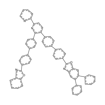 c1ccc(-c2cc3nc(-c4ccc(-c5ccc(-c6ccc(-c7ccccn7)nc6-c6ccc(-c7ccc(-c8nc9ccccc9o8)cc7)cc6)cc5)cc4)oc3cc2-c2ccccc2)cc1